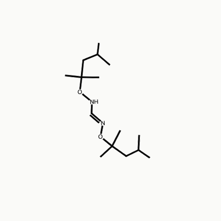 CC(C)CC(C)(C)ON=CNOC(C)(C)CC(C)C